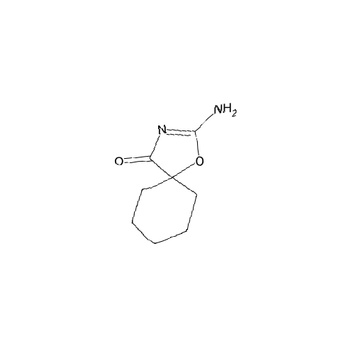 NC1=NC(=O)C2(CCCCC2)O1